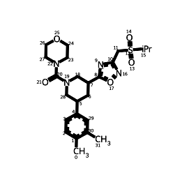 Cc1ccc(C2CC(c3nc(CS(=O)(=O)C(C)C)no3)CN(C(=O)N3CCOCC3)C2)cc1C